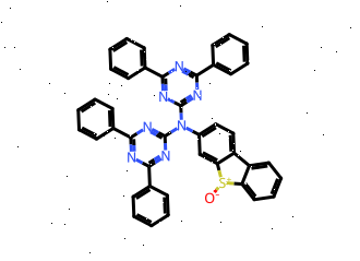 [O-][s+]1c2ccccc2c2ccc(N(c3nc(-c4ccccc4)nc(-c4ccccc4)n3)c3nc(-c4ccccc4)nc(-c4ccccc4)n3)cc21